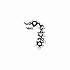 COc1ccc(Cc2csc(N3CCN(S(=O)(=O)c4ccc(Br)cc4Cl)CC3)n2)cc1OC